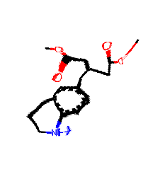 COC(=O)CC(CC(=O)OC)c1ccc2c(c1)CCCN2